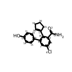 NC(=O)c1cc(Cl)cc(-c2ccc(O)cc2)c1C1=CCCC1